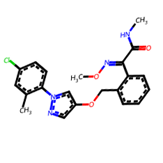 CNC(=O)/C(=N/OC)c1ccccc1COc1cnn(-c2ccc(Cl)cc2C)c1